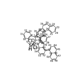 C[SiH](C)[Zr]([Cl])([Cl])([CH]1C(c2ccccc2)=Cc2c(-c3cccc4ccccc34)cccc21)[CH]1C(c2ccccc2)=Cc2c(-c3cccc4ccccc34)cccc21